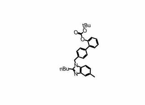 CCCCc1nc2cc(C)ccc2n1Cc1ccc(-c2ccccc2OC(=O)OC(C)(C)C)cc1